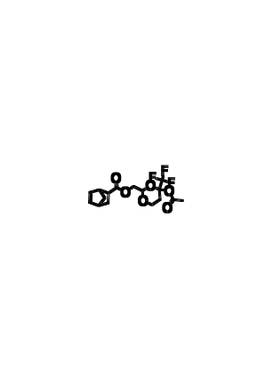 CC(=O)OC1(C(F)(F)F)CCOC(COC(=O)C2CC3C=CC2C3)O1